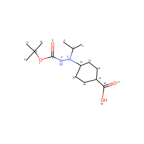 CC(C)N(NC(=O)OC(C)(C)C)C1CCC(C(=O)O)CC1